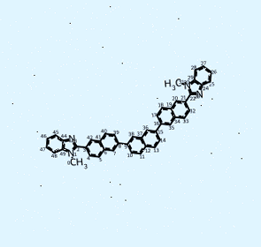 Cn1c(-c2ccc3cc(-c4ccc5ccc(-c6ccc7cc(-c8nc9ccccc9n8C)ccc7c6)cc5c4)ccc3c2)nc2ccccc21